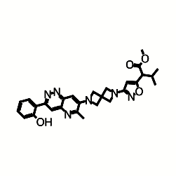 COC(=O)C(c1cc(N2CC3(C2)CN(c2cc4nnc(-c5ccccc5O)cc4nc2C)C3)no1)C(C)C